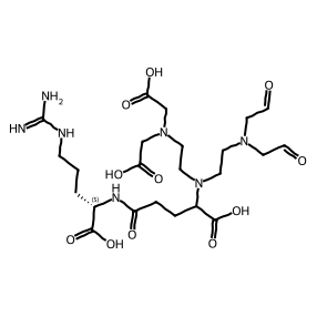 N=C(N)NCCC[C@H](NC(=O)CCC(C(=O)O)N(CCN(CC=O)CC=O)CCN(CC(=O)O)CC(=O)O)C(=O)O